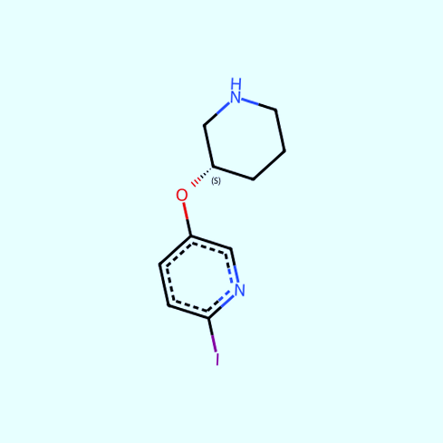 Ic1ccc(O[C@H]2CCCNC2)cn1